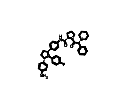 Nc1ccc([C@@H]2CC[C@@H](c3ccc(NC(=O)[C@@H]4CCCN4C(=O)[C@@H](c4ccccc4)N4CCCCC4)cc3)N2c2ccc(F)cc2)cc1